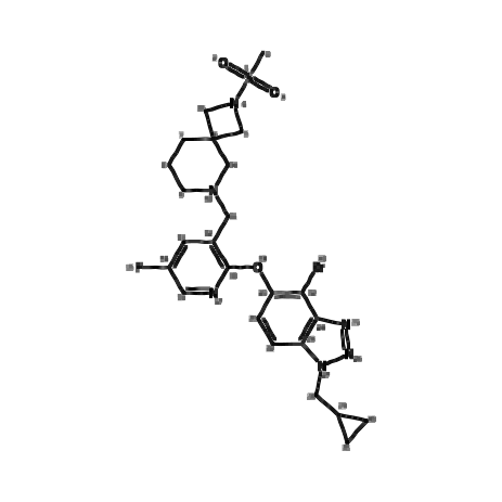 CS(=O)(=O)N1CC2(CCCN(Cc3cc(F)cnc3Oc3ccc4c(nnn4CC4CC4)c3Br)C2)C1